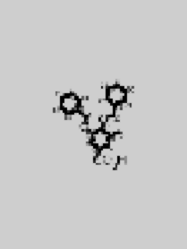 Cc1cc(C(=O)O)cc(OCc2ccccc2)c1OCc1ccccc1